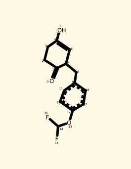 O=C1CCC(O)=CC1Cc1ccc(OC(F)F)cc1